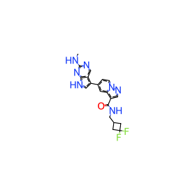 CNc1ncc2c(-c3ccn4ncc(C(=O)NCC5CC(F)(F)C5)c4c3)c[nH]c2n1